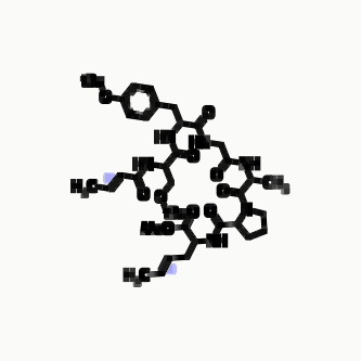 C/C=C/CC(NC(=O)C1CCCN1C(=O)C(C)NC(=O)CNC(=O)C(Cc1ccc(OC(C)(C)C)cc1)NC(=O)C(COC(C)(C)C)NC(=O)/C=C/C)C(=O)OC